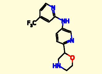 FC(F)(F)c1ccnc(Nc2ccc(C3CNCCO3)nc2)c1